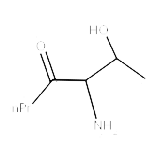 CC[CH]C(=O)C(N)C(C)O